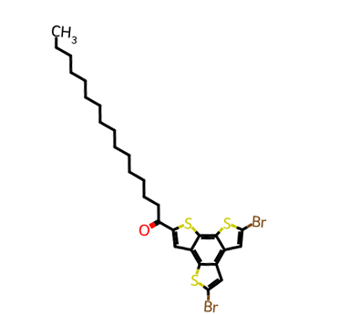 CCCCCCCCCCCCCCCC(=O)c1cc2c3sc(Br)cc3c3cc(Br)sc3c2s1